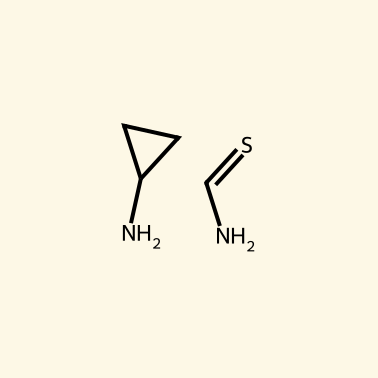 NC1CC1.NC=S